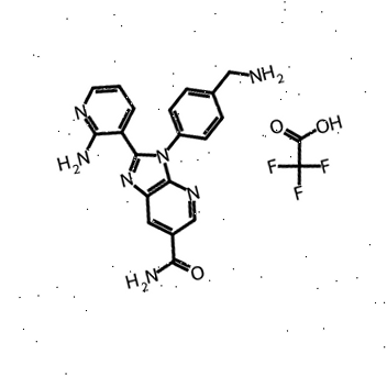 NCc1ccc(-n2c(-c3cccnc3N)nc3cc(C(N)=O)cnc32)cc1.O=C(O)C(F)(F)F